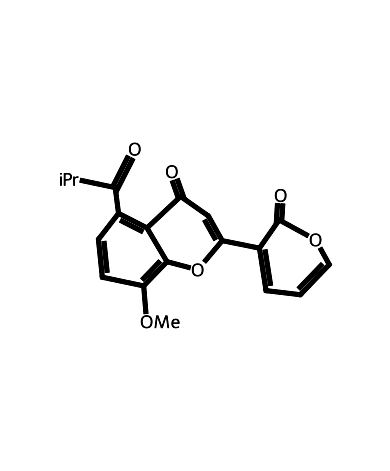 COc1ccc(C(=O)C(C)C)c2c(=O)cc(-c3cccoc3=O)oc12